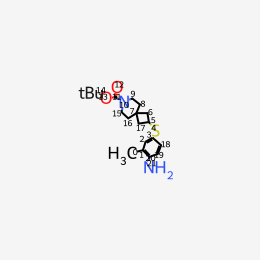 Cc1cc(SC2CC3(CCN(C(=O)OC(C)(C)C)CC3)C2)ccc1N